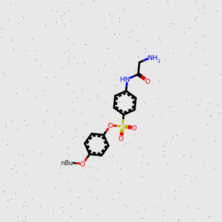 CCCCOc1ccc(OS(=O)(=O)c2ccc(NC(=O)CN)cc2)cc1